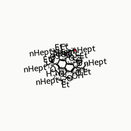 CCCCCCCC(CC)S(=O)(=O)c1c(S(=O)(=O)C(CC)CCCCCCC)c(S(=O)(=O)C(CC)CCCCCCC)c2c(S(=O)(=O)C(CC)CCCCCCC)c(S(=O)(=O)C(CC)CCCCCCC)c(O)c(S(=O)(=O)C(CC)CCCCCCC)c2c1N